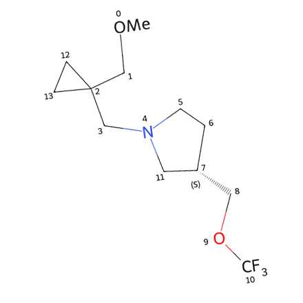 COCC1(CN2CC[C@H](COC(F)(F)F)C2)CC1